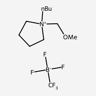 CCCC[N+]1(COC)CCCC1.F[B-](F)(F)C(F)(F)F